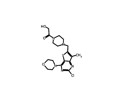 Cc1c(CN2CCN(C(=O)CO)CC2)sc2c(N3CCOCC3)nc(Cl)nc12